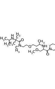 COCC(NC(C)CCOCCN(C)C(=O)C(C)(C)NC(C)C)C(=O)N1CCOCC1